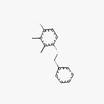 COc1ccc(NCc2ccccc2)c(C)c1C